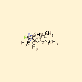 CCCCCCC(C)(CCCCC)c1c(C)nc(F)n1C